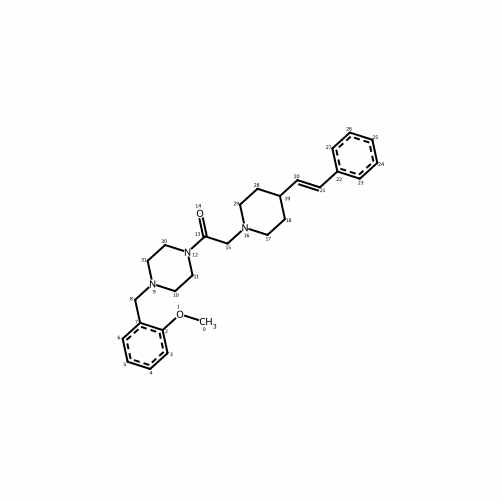 COc1ccccc1CN1CCN(C(=O)CN2CCC(C=Cc3ccccc3)CC2)CC1